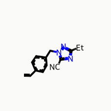 C=Cc1ccc(Cn2nc(CC)nc2C#N)cc1